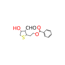 O=CC1C(O)CSC1CCOC(=O)c1ccccc1